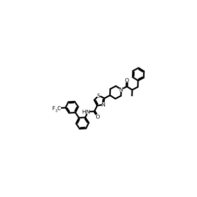 CC(Cc1ccccc1)C(=O)N1CCC(c2nc(C(=O)Nc3ccccc3-c3cccc(C(F)(F)F)c3)cs2)CC1